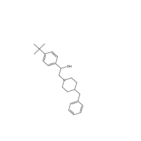 CC(C)(C)c1ccc(C(O)CN2CCC(Cc3ccccc3)CC2)cc1